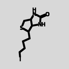 O=C1NC2CSC(CCCCI)C2N1